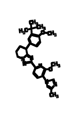 COc1ccc(C2CCCn3nc(-c4ccc(-n5cnc(C)c5)c(OC)n4)nc32)cc1C(C)(C)C